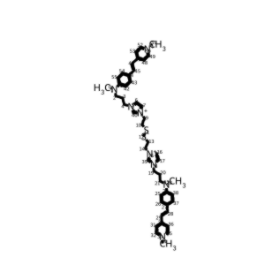 CN(CCCn1cc[n+](CCSSCC[n+]2ccn(CCCN(C)c3ccc(/C=C/c4cc[n+](C)cc4)cc3)c2)c1)c1ccc(/C=C/c2cc[n+](C)cc2)cc1